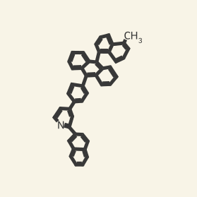 Cc1cccc2c(-c3c4ccccc4c(-c4ccc(-c5ccnc(-c6ccc7ccccc7c6)c5)cc4)c4ccccc34)cccc12